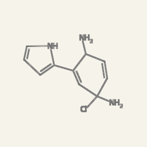 NC1C=CC(N)(Cl)C=C1c1ccc[nH]1